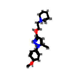 COc1ccc(-n2nc(OCCN3CCCCC3)cc2C)cc1